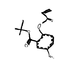 C=CC(=O)Oc1ccc(N)cc1C(=O)OC(C)(C)C